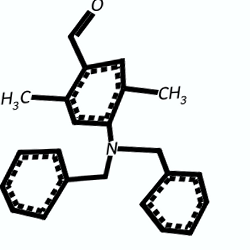 Cc1cc(N(Cc2ccccc2)Cc2ccccc2)c(C)cc1C=O